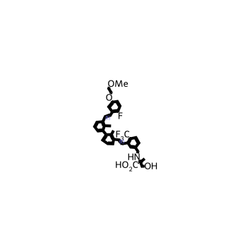 COCCOc1ccc(F)c(/C=C/c2cccc(-c3cccc(/C=C/c4cc(CN[C@@](C)(CO)C(=O)O)ccc4C(F)(F)F)c3C)c2C)c1